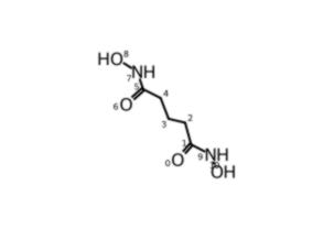 O=C(CCCC(=O)NO)NO